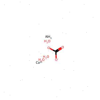 O.O.O.O=C([O-])[O-].[AlH3].[Ca+2]